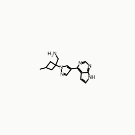 CC1CC(CN)(n2cc(-c3ncnc4[nH]ccc34)cn2)C1